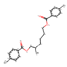 CCCC(CCCCOC(=O)c1ccc(CC)cc1)COC(=O)c1ccc(CC)cc1